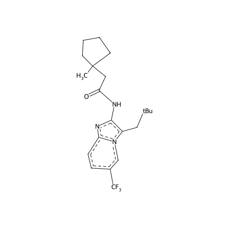 CC(C)(C)Cc1c(NC(=O)CC2(C)CCCC2)nc2ccc(C(F)(F)F)cn12